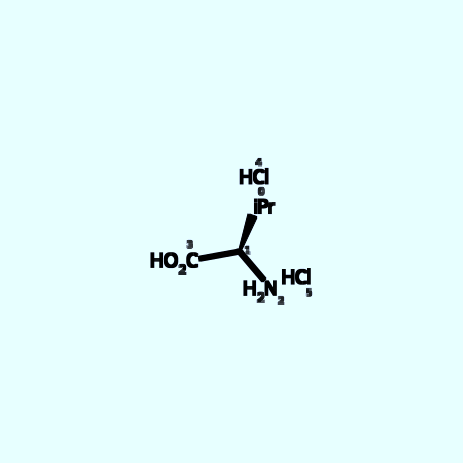 CC(C)[C@@H](N)C(=O)O.Cl.Cl